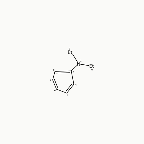 CCN(CC)c1[c]cccc1